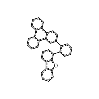 c1ccc(-c2cccc3c2oc2ccccc23)c(-c2ccc3c4ccccc4c4ccccc4c3c2)c1